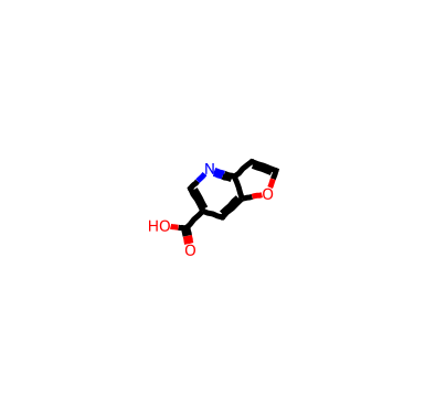 O=C(O)c1cnc2ccoc2c1